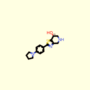 O[C@H]1CNCc2nc(-c3ccc(N4CCCC4)cc3)sc21